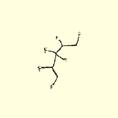 FCC(F)C(F)(F)C(F)CF